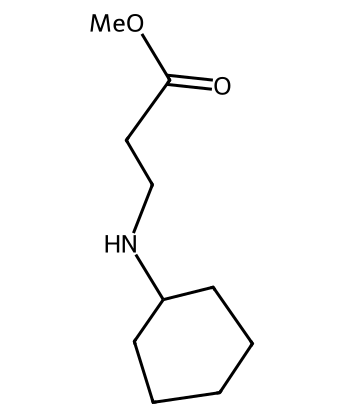 COC(=O)CCNC1CCCCC1